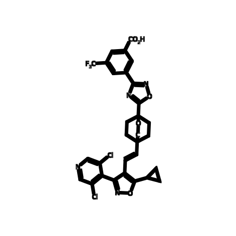 O=C(O)c1cc(-c2noc(C34CCC(C=Cc5c(-c6c(Cl)cncc6Cl)noc5C5CC5)(CC3)CO4)n2)cc(C(F)(F)F)c1